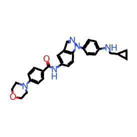 O=C(Nc1ccc2c(cnn2-c2ccc(NCC3CC3)cc2)c1)c1ccc(N2CCOCC2)cc1